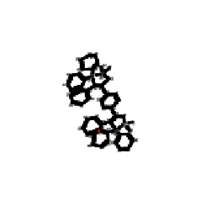 C[P+]1(C)CC(c2ccc(C3=C(c4ccccc4)[B-](c4ccccc4)(c4ccccc4)[P+](C)(C)C3)cc2)=C(c2ccccc2)[B-]1(c1ccccc1)c1ccccc1